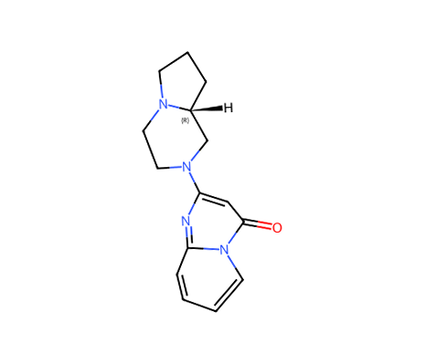 O=c1cc(N2CCN3CCC[C@@H]3C2)nc2ccccn12